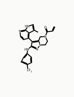 C=CC(=O)N1CCn2nc(Nc3ccc(C(F)(F)F)cc3)c(-c3ccnc4[nH]cc(C)c34)c2C1